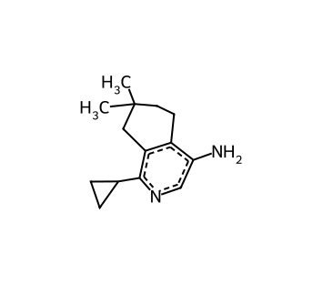 CC1(C)CCc2c(N)cnc(C3CC3)c2C1